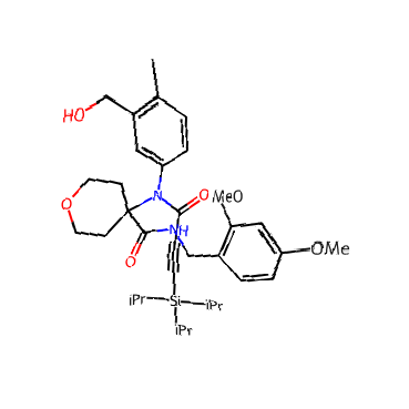 COc1ccc(CNC(=O)C2(N(C(=O)C#C[Si](C(C)C)(C(C)C)C(C)C)c3ccc(C)c(CO)c3)CCOCC2)c(OC)c1